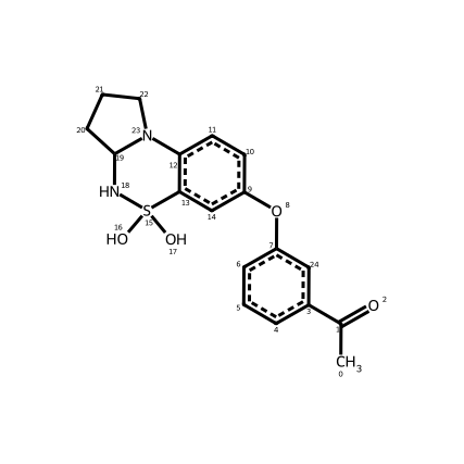 CC(=O)c1cccc(Oc2ccc3c(c2)S(O)(O)NC2CCCN32)c1